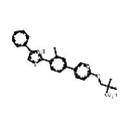 Cc1cc(-c2ccc(OCC(C)(C)C(=O)O)nc2)ccc1-c1ncc(-c2ccccc2)[nH]1